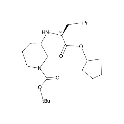 CC(C)C[C@H](NC1CCCN(C(=O)OC(C)(C)C)C1)C(=O)OC1CCCC1